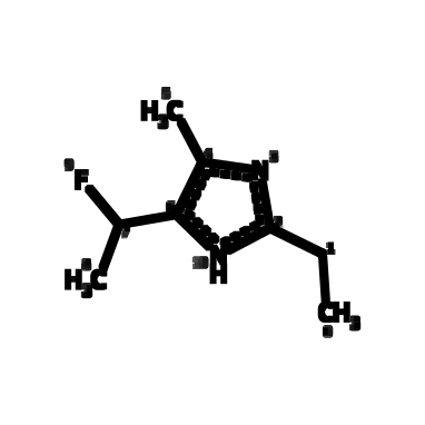 CCc1nc(C)c(C(C)F)[nH]1